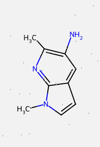 Cc1nc2c(ccn2C)cc1N